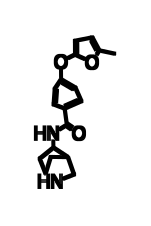 Cc1ccc(Oc2ccc(C(=O)NC3CC4CC3CN4)cc2)o1